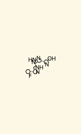 Oc1cncc(-c2cnc3[nH]nc(-c4cc5c(-c6ccccc6F)ccnc5[nH]4)c3c2)c1